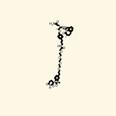 C[C@H]1CCc2cccc3c2N(C1=O)[C@H](CN[C@@H](CCC(N)=O)[C@@H](C)OCc1ccc(CCCNC(=O)COCCOCCOCCOCCCc2ccc4c(c2)n(C)c(=O)n4C2CCC(=O)NC2=O)cc1)C3